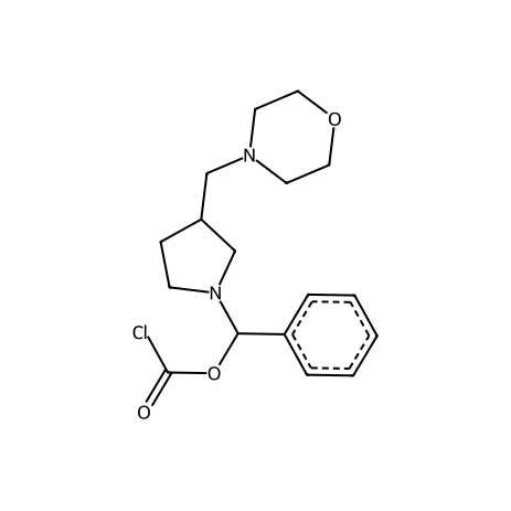 O=C(Cl)OC(c1ccccc1)N1CCC(CN2CCOCC2)C1